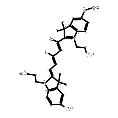 CCC(/C=C(\C#N)C1=[N+](CCC(=O)O)c2ccc(OC=O)cc2C1(C)C)=C\C=C1\N(CCC(=O)O)c2ccc(C(=O)O)cc2C1(C)C